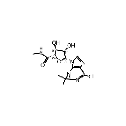 CNC(=O)[C@H]1O[C@@H](n2cnc3c2N2C(N=C3Cl)C2(C)C)[C@H](O)[C@@H]1O